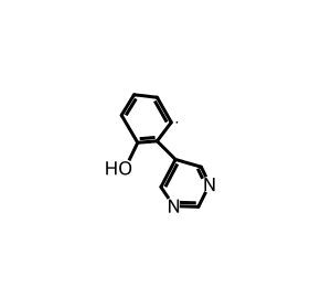 Oc1ccc[c]c1-c1cncnc1